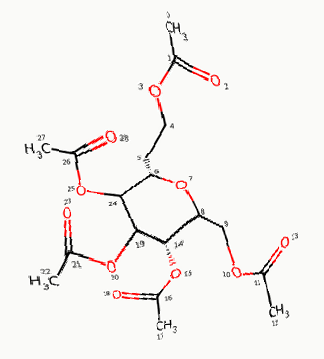 CC(=O)OCC[C@@H]1OC(COC(C)=O)[C@H](OC(C)=O)C(OC(C)=O)C1OC(C)=O